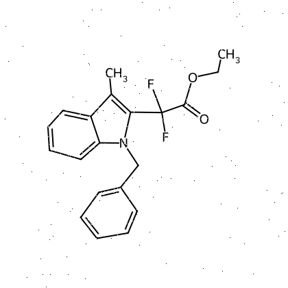 CCOC(=O)C(F)(F)c1c(C)c2ccccc2n1Cc1ccccc1